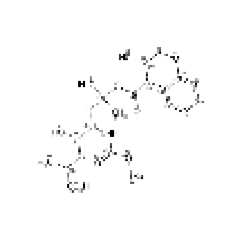 C[C@H](C[C@H](O)[C@H](CC(C)(C)CC(=O)N1c2ccccc2OC[C@H]1C#N)NC(=O)OC(C)(C)C)C(=O)O